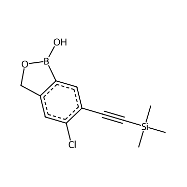 C[Si](C)(C)C#Cc1cc2c(cc1Cl)COB2O